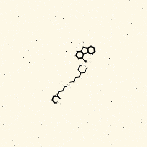 O=C(CCc1cccnc1)NCCCCC1CCN(C(=O)c2cccc3c2-c2ccccc2C3=O)CC1